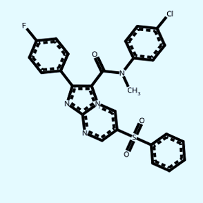 CN(C(=O)c1c(-c2ccc(F)cc2)nc2ncc(S(=O)(=O)c3ccccc3)cn12)c1ccc(Cl)cc1